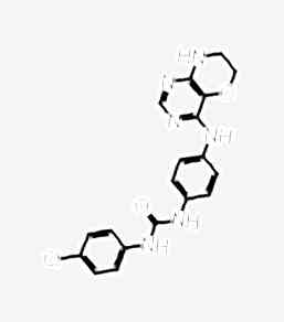 O=C(Nc1ccc(Cl)cc1)Nc1ccc(Nc2ncnc3c2OCCN3)cc1